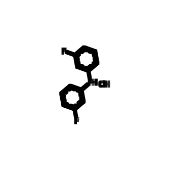 Cl.Fc1cccc(Pc2cccc(F)c2)c1